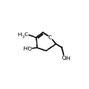 CC1=CCC(CO)CC1O